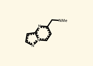 CNCc1ccn2nccc2n1